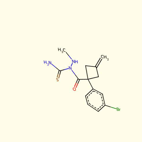 C=C1CC(C(=O)N(NC)C(N)=S)(c2cccc(Br)c2)C1